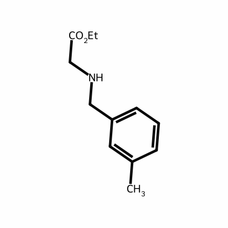 CCOC(=O)CNCc1cccc(C)c1